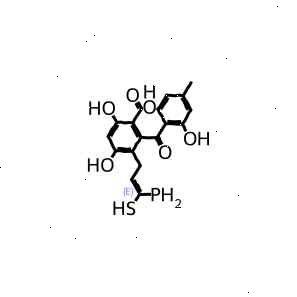 Cc1cc(O)c(C(=O)c2c(C=O)c(O)cc(O)c2C/C=C(\P)S)c(O)c1